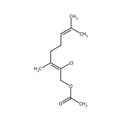 CC(=O)OC/C(Cl)=C(\C)CCC=C(C)C